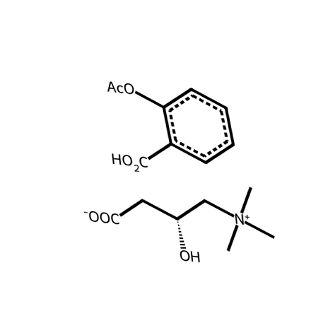 CC(=O)Oc1ccccc1C(=O)O.C[N+](C)(C)C[C@H](O)CC(=O)[O-]